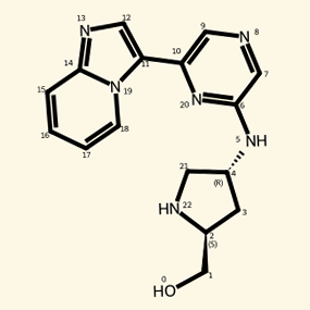 OC[C@@H]1C[C@@H](Nc2cncc(-c3cnc4ccccn34)n2)CN1